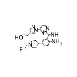 N=C(c1nccc(-n2cc(CCO)cn2)n1)c1cc(C2CCN(CCF)CC2)ccc1N